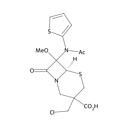 COC1(N(C(C)=O)c2cccs2)C(=O)N2CC(CCl)(C(=O)O)CS[C@@H]21